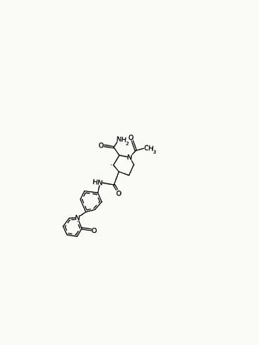 CC(=O)N1CCC(C(=O)Nc2ccc(-n3ccccc3=O)cc2)[CH]C1C(N)=O